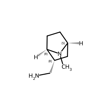 CN1[C@H]2CC[C@@H]1[C@@H](CN)C2